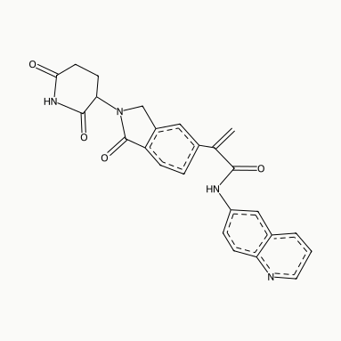 C=C(C(=O)Nc1ccc2ncccc2c1)c1ccc2c(c1)CN(C1CCC(=O)NC1=O)C2=O